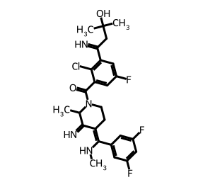 CN/C(=C1/CCN(C(=O)c2cc(F)cc(C(=N)CC(C)(C)O)c2Cl)C(C)C1=N)c1cc(F)cc(F)c1